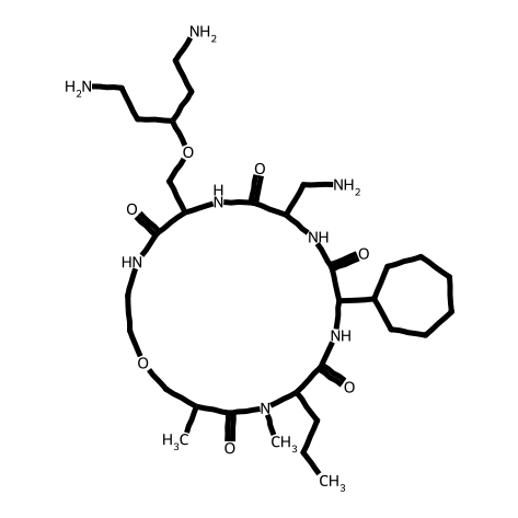 CCCC1C(=O)NC(C2CCCCCC2)C(=O)NC(CN)C(=O)NC(COC(CCN)CCN)C(=O)NCCOCC(C)C(=O)N1C